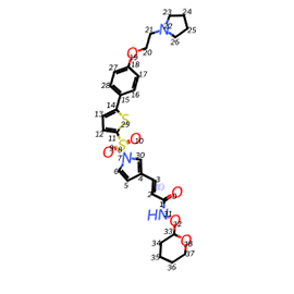 O=C(/C=C/c1ccn(S(=O)(=O)c2ccc(-c3ccc(OCCN4CCCC4)cc3)s2)c1)NOC1CCCCO1